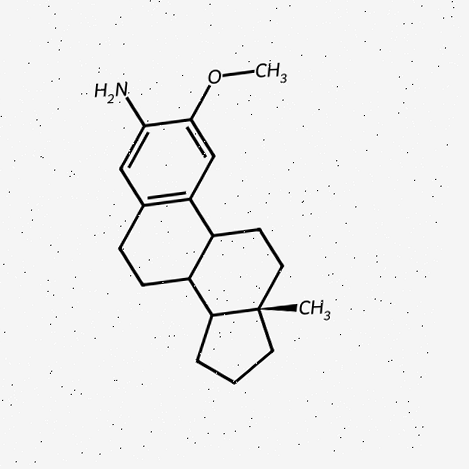 COc1cc2c(cc1N)CCC1C2CC[C@]2(C)CCCC12